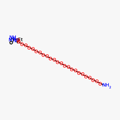 CCOCc1nc2c(N)nc3ccccc3c2n1CC(C)(C)OCCOCCOCCOCCOCCOCCOCCOCCOCCOCCOCCOCCOCCOCCOCCOCCOCCOCCOCCOCCOCCOCCOCCOCCN